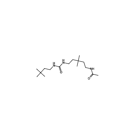 CC(=O)NCCC(C)(C)CCNC(=O)NCCC(C)(C)C